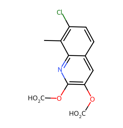 Cc1c(Cl)ccc2cc(OC(=O)O)c(OC(=O)O)nc12